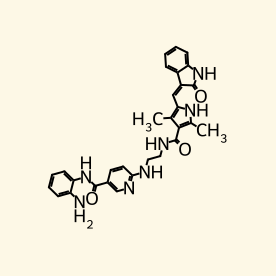 Cc1[nH]c(C=C2C(=O)Nc3ccccc32)c(C)c1C(=O)NCCNc1ccc(C(=O)Nc2ccccc2N)cn1